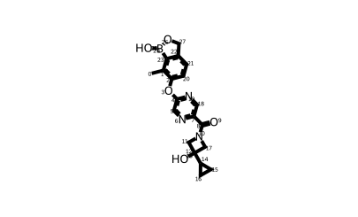 Cc1c(Oc2cnc(C(=O)N3CC(O)(C4CC4)C3)cn2)ccc2c1B(O)OC2